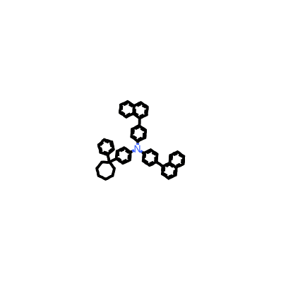 c1ccc(C2(c3ccc(N(c4ccc(-c5cccc6ccccc56)cc4)c4ccc(-c5cccc6ccccc56)cc4)cc3)CCCCCC2)cc1